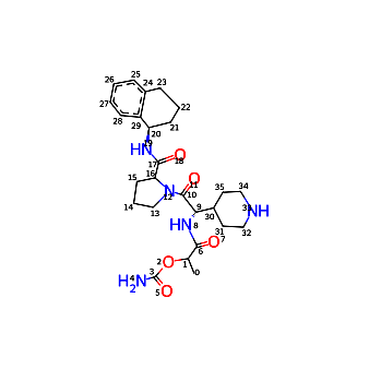 CC(OC(N)=O)C(=O)N[C@H](C(=O)N1CCCC1C(=O)N[C@@H]1CCCc2ccccc21)C1CCNCC1